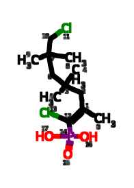 CC(CC(C)(C)CC(C)(C)CCl)=C(Cl)P(=O)(O)O